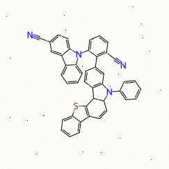 N#Cc1ccc2c(c1)c1ccccc1n2-c1cccc(C#N)c1-c1ccc2c(c1)N(c1ccccc1)C1C=Cc3c(sc4ccccc34)C21